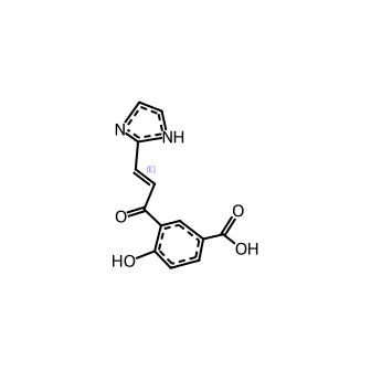 O=C(O)c1ccc(O)c(C(=O)/C=C/c2ncc[nH]2)c1